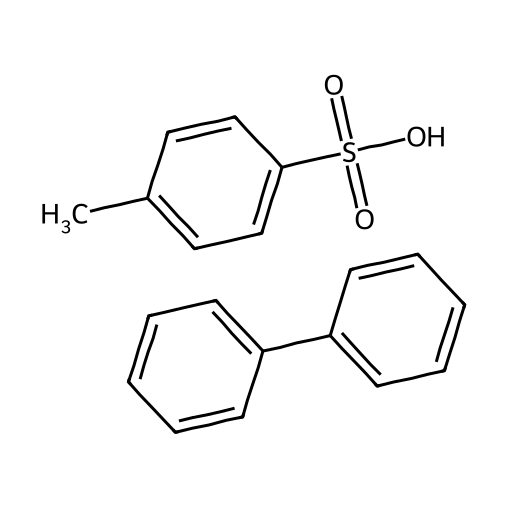 Cc1ccc(S(=O)(=O)O)cc1.c1ccc(-c2ccccc2)cc1